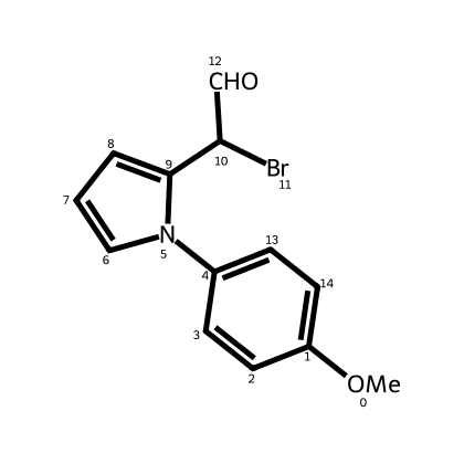 COc1ccc(-n2cccc2C(Br)C=O)cc1